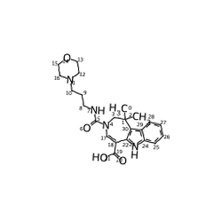 CC1(C)CN(C(=O)NCCCN2CCOCC2)C=C(C(=O)O)c2[nH]c3ccccc3c21